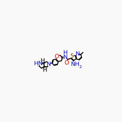 Cc1ccc2c(N)c(C(=O)N[C@H]3COc4cc(N5C[C@H]6CCN[C@H]6C5)ccc4C3)sc2n1